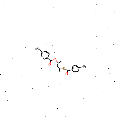 CCCc1ccc(C(=O)OC(C)CC(C)SC(=O)c2ccc(CCC)cc2)cc1